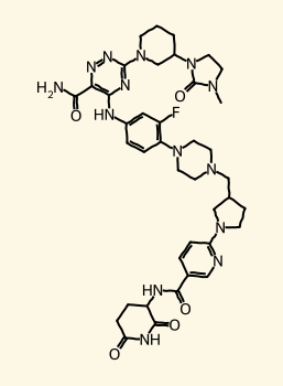 CN1CCN(C2CCCN(c3nnc(C(N)=O)c(Nc4ccc(N5CCN(CC6CCN(c7ccc(C(=O)NC8CCC(=O)NC8=O)cn7)C6)CC5)c(F)c4)n3)C2)C1=O